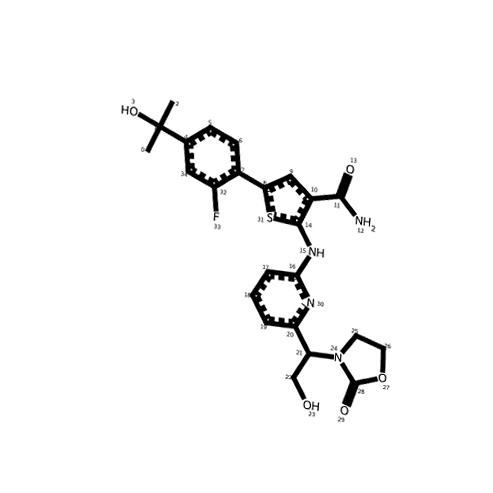 CC(C)(O)c1ccc(-c2cc(C(N)=O)c(Nc3cccc(C(CO)N4CCOC4=O)n3)s2)c(F)c1